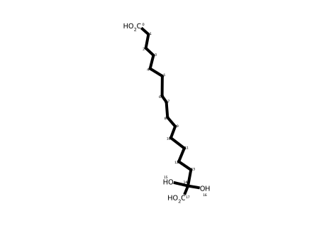 O=C(O)CCCCCCCCCCCCCC(O)(O)C(=O)O